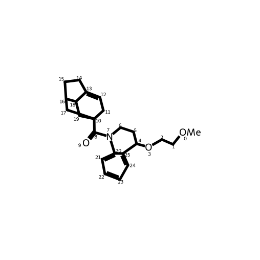 COCCOC1CCN(C(=O)C23CC=C4CCC(C2)C4C3)c2ccccc21